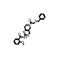 COc1ccccc1C(=O)Nc1ncc2c(n1)CCN(C(=O)CSCc1ccccc1)C2